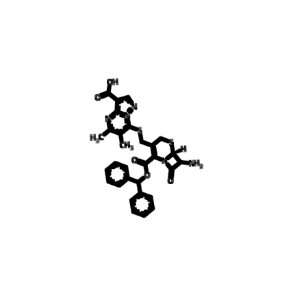 Cc1nc2c(C(=O)O)cnn2c(SCC2=C(C(=O)OC(c3ccccc3)c3ccccc3)N3C(=O)C(N)[C@H]3SC2)c1C